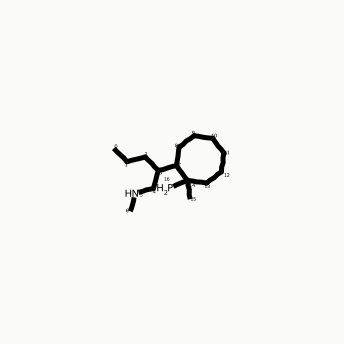 CCCC(CNC)C1CCCCCCC1(C)P